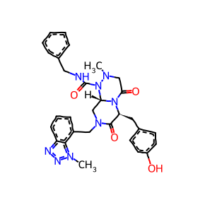 CN1CC(=O)N2[C@@H](Cc3ccc(O)cc3)C(=O)N(Cc3cccc4nnn(C)c34)C[C@@H]2N1C(=O)NCc1ccccc1